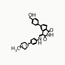 CN1CCN(c2ccc(NC=C3C(=O)NC(=O)c4ccc(-c5ccc(CO)cc5)cc43)cc2)CC1